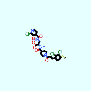 CSc1ccc(C=CC(=O)N2CCC(C(=O)NC(CNC(=O)c3ccnc(Cl)c3)C(=O)O)CC2)c(Cl)c1Cl